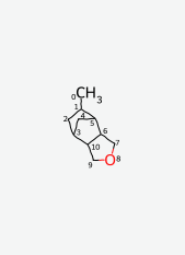 CC1CC2CC1C1COCC21